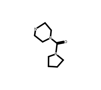 O=C(N1CCCC1)N1CC[N]CC1